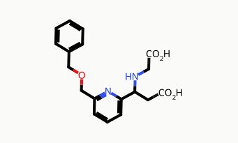 O=C(O)CNC(CC(=O)O)c1cccc(COCc2ccccc2)n1